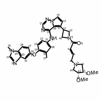 CO[C@H]1CN(C/C=C/C(=O)N2CC(c3ccn4ncnc(Nc5ccc(Oc6ccc7c(c6)ncn7C)c(C)c5)c34)C2)C[C@H]1OC